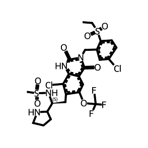 CCS(=O)(=O)c1ccc(Cl)cc1Cn1c(=O)[nH]c2c(Cl)c(C[C@H](NS(C)(=O)=O)C3CCCN3)c(OC(F)(F)F)cc2c1=O